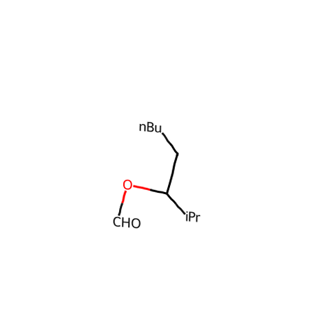 CCCCCC(OC=O)C(C)C